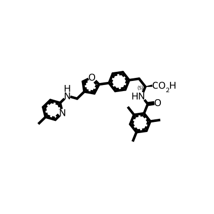 Cc1ccc(NCc2coc(-c3ccc(C[C@H](NC(=O)c4c(C)cc(C)cc4C)C(=O)O)cc3)c2)nc1